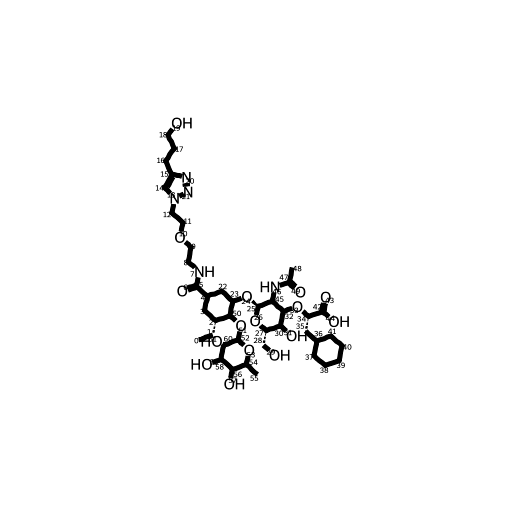 CC[C@@H]1CC(C(=O)NCCOCCn2cc(CCCO)nn2)CC(O[C@@H]2O[C@@H](CO)C(O)C(O[C@@H](CC3CCCCC3)C(=O)O)C2NC(C)=O)C1OC1OC(C)C(O)C(O)C1O